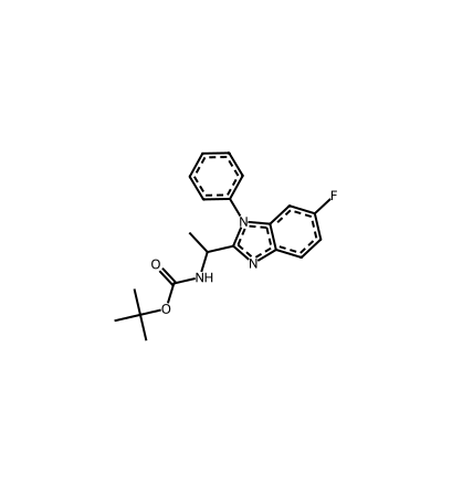 CC(NC(=O)OC(C)(C)C)c1nc2ccc(F)cc2n1-c1ccccc1